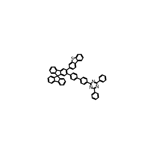 c1ccc(-c2nc(-c3ccccc3)nc(-c3ccc(-c4ccc(-c5cc6c(cc5-c5ccc7c(c5)sc5ccccc57)-c5ccccc5C65c6ccccc6-c6ccccc65)cc4)cc3)n2)cc1